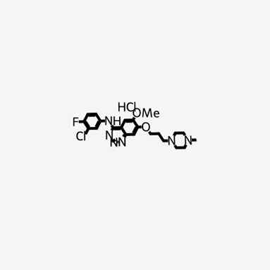 COc1cc2c(Nc3ccc(F)c(Cl)c3)nnnc2cc1OCCCN1CCN(C)CC1.Cl